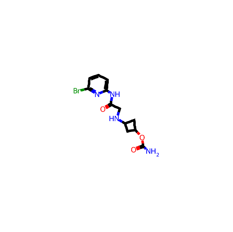 NC(=O)OC1CC(NCC(=O)Nc2cccc(Br)n2)C1